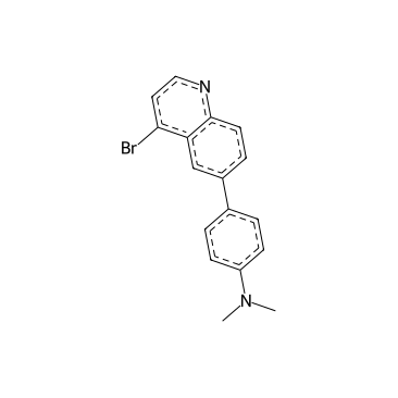 CN(C)c1ccc(-c2ccc3nccc(Br)c3c2)cc1